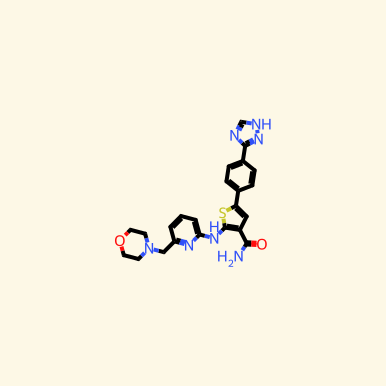 NC(=O)c1cc(-c2ccc(-c3nc[nH]n3)cc2)sc1Nc1cccc(CN2CCOCC2)n1